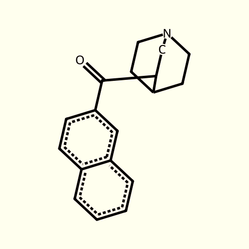 O=C(c1ccc2ccccc2c1)C1CN2CCC1CC2